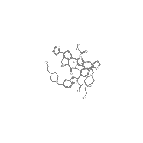 CC(C)(C)OC(=O)n1c(-c2ccc(-c3ccco3)c3c2C(C(=O)C2NCc4c(-c5ccco5)ccc(-c5cc6cc(CN7CCN(CCO)CC7)ccc6n5C(=O)OC(C)(C)C)c42)NC3)cc2cc(CN3CCN(CCO)CC3)ccc21